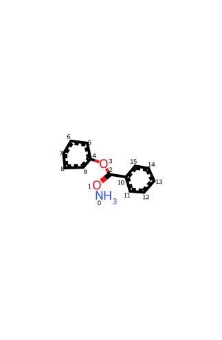 N.O=C(Oc1ccccc1)c1ccccc1